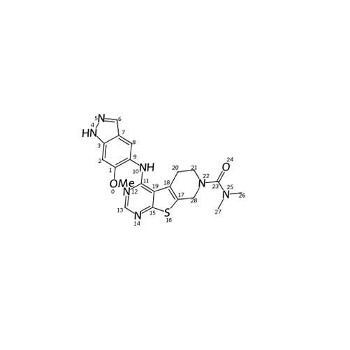 COc1cc2[nH]ncc2cc1Nc1ncnc2sc3c(c12)CCN(C(=O)N(C)C)C3